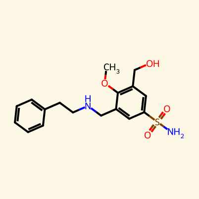 COc1c(CO)cc(S(N)(=O)=O)cc1CNCCc1ccccc1